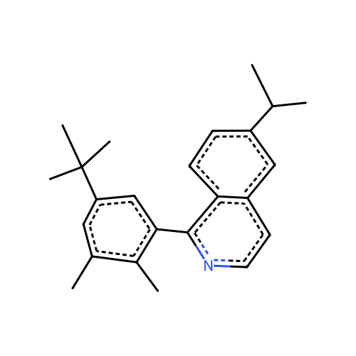 Cc1cc(C(C)(C)C)cc(-c2nccc3cc(C(C)C)ccc23)c1C